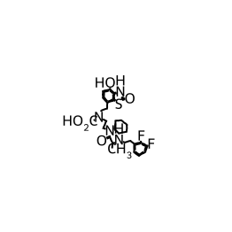 CC(NCCc1cccc(F)c1F)C(=O)N(CCN(CCc1ccc(O)c2[nH]c(=O)sc12)C(=O)O)C1CCCCC1